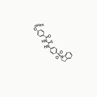 CCCCCCOc1ccc(C(=O)NC(=S)Nc2ccc(S(=O)(=O)N3CCc4ccccc43)cc2)cc1